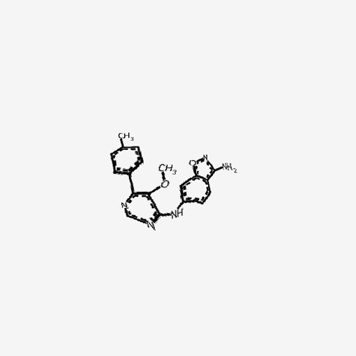 COc1c(Nc2ccc3c(N)noc3c2)ncnc1-c1ccc(C)cc1